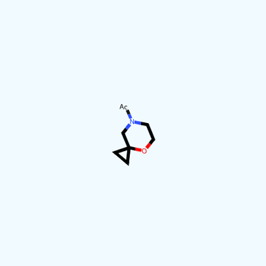 CC(=O)N1CCOC2(CC2)C1